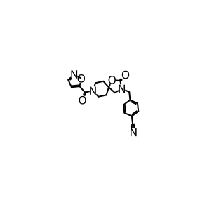 N#Cc1ccc(CN2CC3(CCN(C(=O)c4ccno4)CC3)OC2=O)cc1